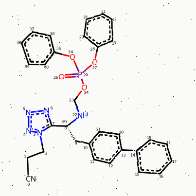 N#CCCn1nnnc1[C@@H](Cc1ccc(-c2ccccc2)cc1)NCOP(=O)(Oc1ccccc1)Oc1ccccc1